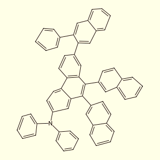 c1ccc(-c2cc3ccccc3cc2-c2ccc3c(c2)c(-c2ccc4ccccc4c2)c(-c2ccc4ccccc4c2)c2cc(N(c4ccccc4)c4ccccc4)ccc23)cc1